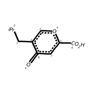 CC(C)Cc1coc(C(=O)O)cc1=O